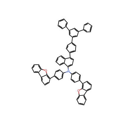 c1ccc(-c2cc(-c3ccccc3)cc(-c3ccc(-c4ccc(N(c5ccc(-c6cccc7c6oc6ccccc67)cc5)c5ccc(-c6cccc7c6oc6ccccc67)cc5)c5ccccc45)cc3)c2)cc1